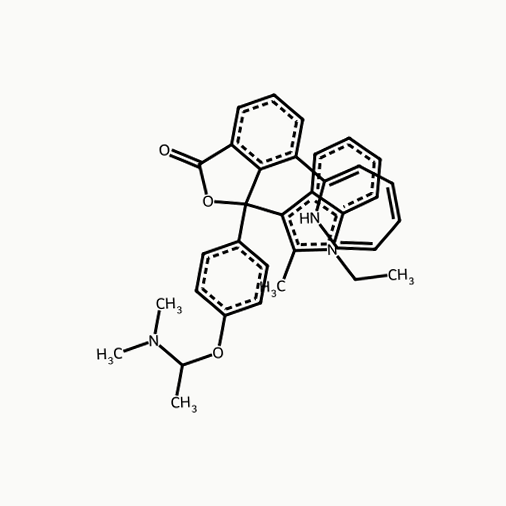 CCn1c(C)c(C2(c3ccc(OC(C)N(C)C)cc3)OC(=O)c3cccc(C4=CC=CC=CN4)c32)c2ccccc21